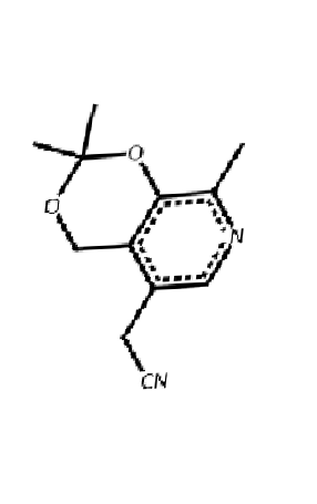 Cc1ncc(CC#N)c2c1OC(C)(C)OC2